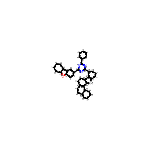 c1ccc(-c2nc(-c3ccc4oc5ccccc5c4c3)nc(-c3cccc4[se]c5c(ccc6ccc7ccccc7c65)c34)n2)cc1